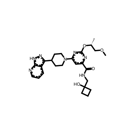 COC[C@@H](C)Oc1nc(C(=O)NCC2(O)CCC2)cc(N2CCC(c3n[nH]c4ncccc34)CC2)n1